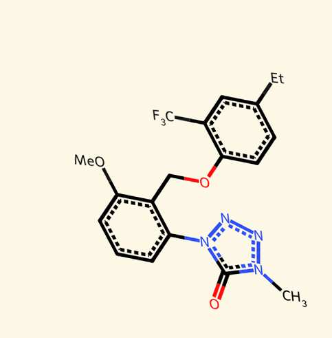 CCc1ccc(OCc2c(OC)cccc2-n2nnn(C)c2=O)c(C(F)(F)F)c1